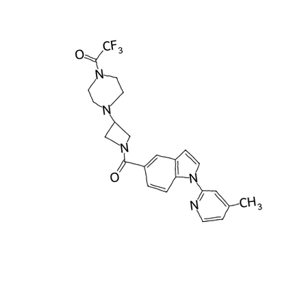 Cc1ccnc(-n2ccc3cc(C(=O)N4CC(N5CCN(C(=O)C(F)(F)F)CC5)C4)ccc32)c1